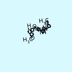 CCOc1cccc(Cn2ncc3c(N4CCN(C(=O)C5CCC6(CC5)NCCc5cc(OC)ccc56)CC4)ncnc32)c1